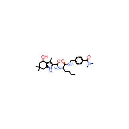 CCCCC(NC(=O)c1[nH]c2c(c1C)C(O)CC(C)(C)C2)C(=O)NCc1ccc(C(=O)N(C)C)cc1